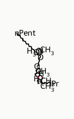 CCCCCC=CCC=CCCCCCCCCOCC(CN(C)C)OCCCCO[C@H]1CC[C@@]2(C)C(=CC[C@H]3[C@@H]4CC[C@H]([C@H](C)CCCC(C)C)[C@@]4(C)CC[C@@H]32)C1